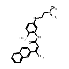 C/C(=C/C(=O)Nc1cc(NCCN(C)C)ccc1C(=O)O)c1ccc2ccccc2c1